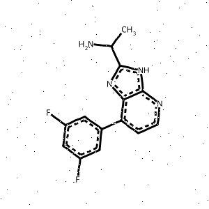 CC(N)c1nc2c(-c3cc(F)cc(F)c3)ccnc2[nH]1